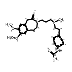 COc1cc2c(cc1OC)CC(=O)N(CCCN(C)CCc1ccc(NC(C)=O)cc1)CC2